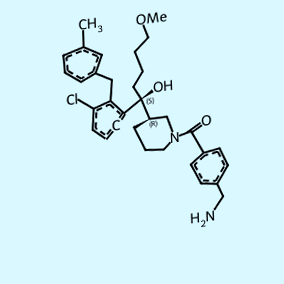 COCCCC[C@@](O)(c1cccc(Cl)c1Cc1cccc(C)c1)[C@@H]1CCCN(C(=O)c2ccc(CN)cc2)C1